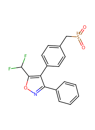 O=[SH](=O)Cc1ccc(-c2c(-c3ccccc3)noc2C(F)F)cc1